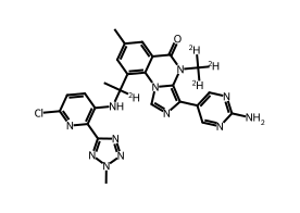 [2H]C(C)(Nc1ccc(Cl)nc1-c1nnn(C)n1)c1cc(C)cc2c(=O)n(C([2H])([2H])[2H])c3c(-c4cnc(N)nc4)ncn3c12